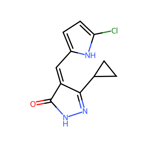 O=C1NN=C(C2CC2)C1=Cc1ccc(Cl)[nH]1